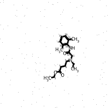 CCOC(=O)CCCN(CC)CC(=O)Nc1c(C)cccc1C